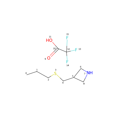 CCCSCC1CNC1.O=C(O)C(F)(F)F